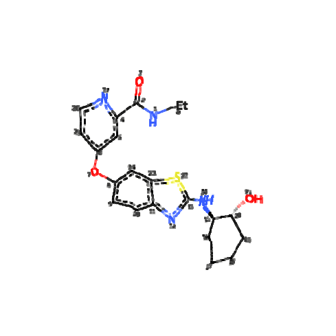 CCNC(=O)c1cc(Oc2ccc3nc(N[C@@H]4CCCC[C@H]4O)sc3c2)ccn1